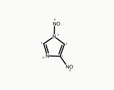 O=Nc1cn(N=O)cn1